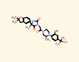 CCCc1cc(C(O)(C(F)(F)F)C(F)(F)F)ccc1N1CCN(C(=O)CN2C(=O)NC(C)(c3ccc4c(c3)CC(C)(C)O4)C2=O)C[C@@H]1C